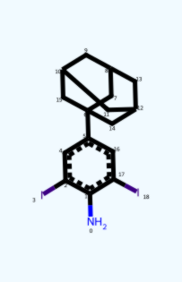 Nc1c(I)cc(C23CC4CC(CC(C4)C2)C3)cc1I